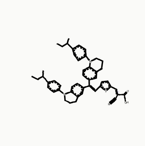 CCC(C)c1ccc(N2CCCc3cc(C(=Cc4ccc(/C=C(\C#N)C(=O)O)s4)c4ccc5c(c4)CCCN5c4ccc(C(C)CC)cc4)ccc32)cc1